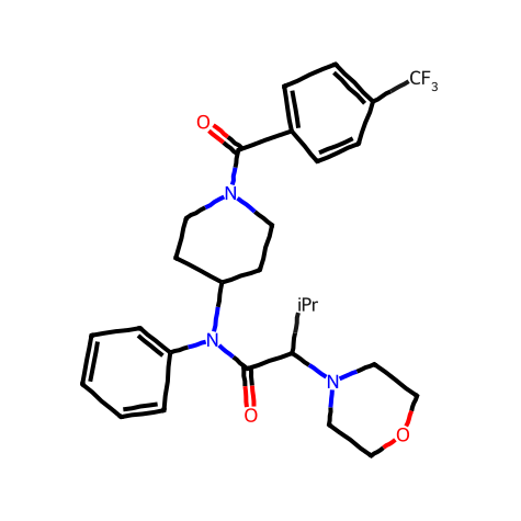 CC(C)C(C(=O)N(c1ccccc1)C1CCN(C(=O)c2ccc(C(F)(F)F)cc2)CC1)N1CCOCC1